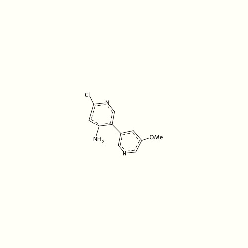 COc1cncc(-c2cnc(Cl)cc2N)c1